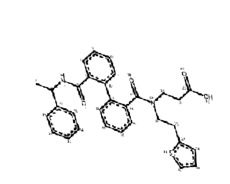 CC(NC(=O)c1ccccc1-c1ccccc1C(=O)N(CCC(=O)O)CCc1cccs1)c1ccccc1